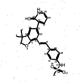 CC1(C)COc2c(/C=C/c3ccc(NS(C)(=O)=O)cc3)cc(-c3ccc[nH]c3=O)cc21